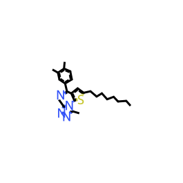 CCCCCCCCc1cc2c(s1)-n1c(C)nnc1CN=C2c1ccc(C)c(C)c1